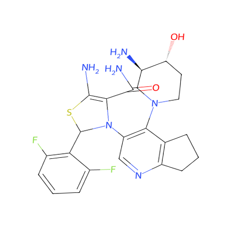 NC(=O)C1=C(N)SC(c2c(F)cccc2F)N1c1cnc2c(c1N1CC[C@@H](O)[C@H](N)C1)CCC2